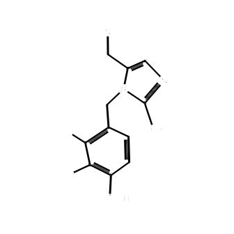 CCCCc1ncc(CN)n1Cc1ccc(C(=O)O)c(F)c1F